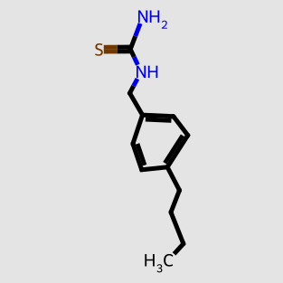 CCCCc1ccc(CNC(N)=S)cc1